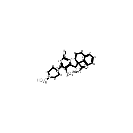 COC(=O)C1(Cc2nc(Cl)nc(N3CCN(C(=O)O)CC3)c2[N+](=O)[O-])CCCc2ccccc21